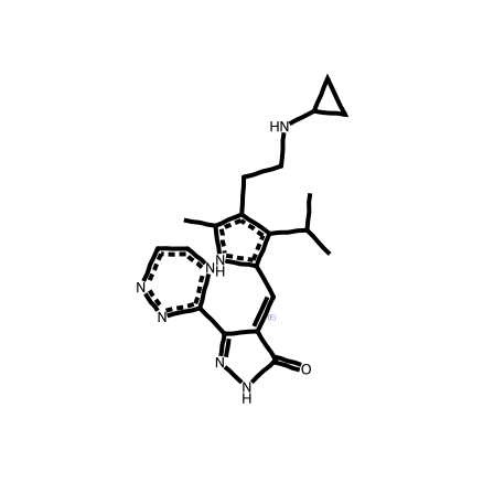 Cc1[nH]c(/C=C2/C(=O)NN=C2c2nccnn2)c(C(C)C)c1CCNC1CC1